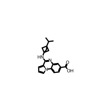 CC(C)C12CC(Nc3nc4cc(C(=O)O)ccc4n4cccc34)(C1)C2